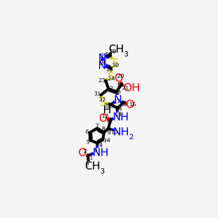 CC(=O)Nc1cccc(C(N)C(=O)NC2C(=O)N3C(C(=O)O)=C(CSc4nnc(C)s4)CS[C@H]23)c1